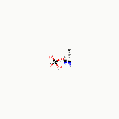 O[Si](O)(O)O.[C-]#N.[C-]#N.[K+].[K+]